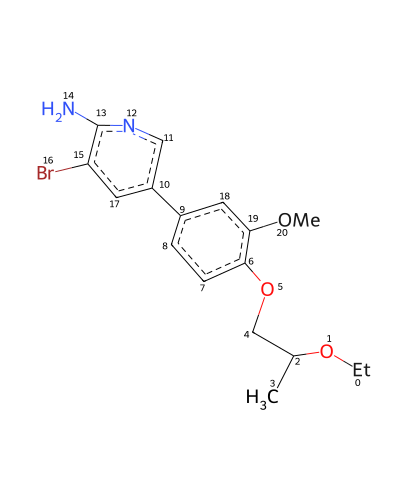 CCOC(C)COc1ccc(-c2cnc(N)c(Br)c2)cc1OC